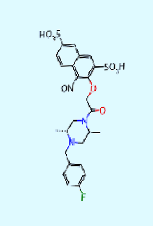 C[C@@H]1CN(C(=O)COc2c(S(=O)(=O)O)cc3cc(S(=O)(=O)O)ccc3c2N=O)[C@@H](C)CN1Cc1ccc(F)cc1